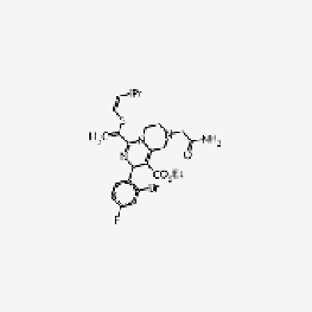 C=C(S/C=C\C(C)C)C1=NC(c2ccc(F)cc2Br)C(C(=O)OCC)=C2CN(CC(N)=O)CCN12